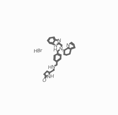 Br.O=C1CCC(CNCc2ccc(CN(Cc3nc4ccccc4[nH]3)[C@H]3CCCc4cccnc43)cc2)N1